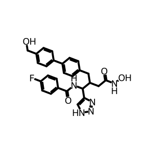 O=C(CC(Cc1ccc(-c2ccc(CO)cc2)cc1)C(NC(=O)c1ccc(F)cc1)c1c[nH]nn1)NO